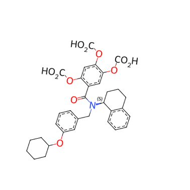 O=C(O)Oc1cc(OC(=O)O)c(C(=O)N(Cc2cccc(OC3CCCCC3)c2)[C@H]2CCCc3ccccc32)cc1OC(=O)O